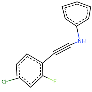 Fc1cc(Cl)ccc1C#CNc1ccccc1